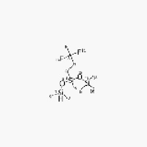 C[SiH](C)O[Si](C)(CCC(C)(F)F)O[Si](C)(C)C